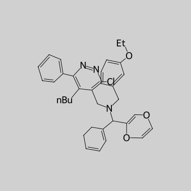 CCCCc1c(-c2ccccc2)nnc(Cl)c1CN(Cc1cccc(OCC)c1)C(C1=CC=CCC1)C1=COC=CO1